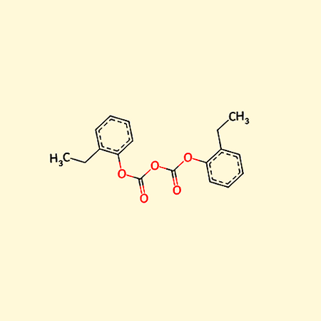 CCc1ccccc1OC(=O)OC(=O)Oc1ccccc1CC